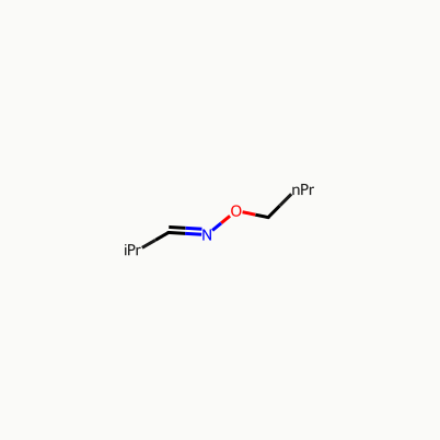 CCCCO/N=C/C(C)C